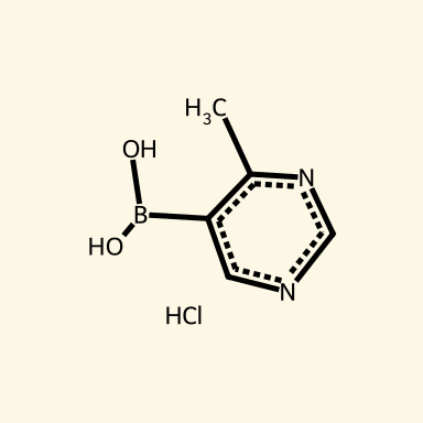 Cc1ncncc1B(O)O.Cl